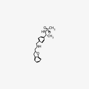 C[C@@H](NS(C)(=O)=O)c1ccc(CNCC2Cc3ccccc3O2)cc1